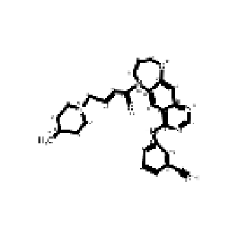 C#Cc1cccc(Nc2ncnc3cc4c(cc23)N(C(=O)/C=C/CN2CCC(C)CC2)CCCO4)c1